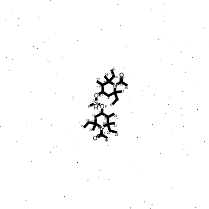 CCC1(C)CC(O[SiH](C)OC2CC(C)(CC)N(C(C)=O)C(C)(CC)C2C)C(C)C(C)(CC)N1C(C)=O